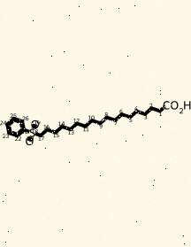 O=C(O)CCCCCCCCCCCCCCCCCS(=O)(=O)c1ccccc1